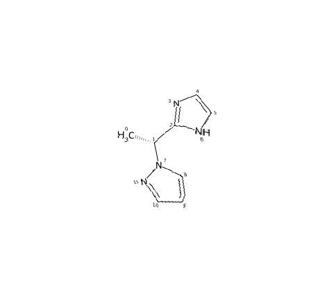 C[C@H](c1ncc[nH]1)n1cccn1